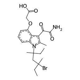 CCC(C)(Br)CC(C)(CC)n1c(C)c(C(=O)C(N)=O)c2c(OCC(=O)O)cccc21